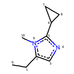 CCc1cnc(C2CC2)n1C